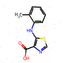 Cc1ccccc1Nc1scnc1C(=O)O